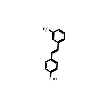 O=Cc1ccc(/C=C/c2cccc(C(F)(F)F)c2)cc1